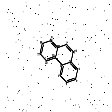 c1ccc2c(c1)ncc1ncccc12